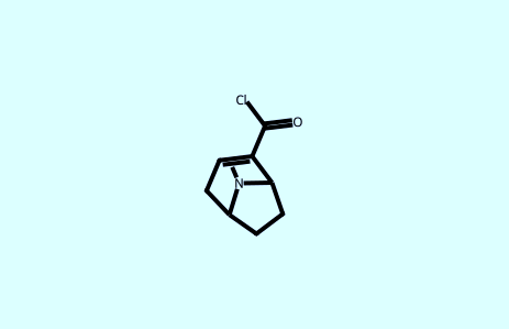 CN1C2CC=C(C(=O)Cl)C1CC2